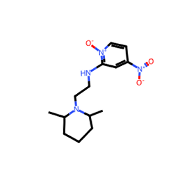 CC1CCCC(C)N1CCNc1cc([N+](=O)[O-])cc[n+]1[O-]